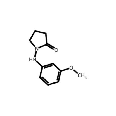 COc1cccc(NN2CCCC2=O)c1